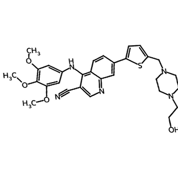 COc1cc(Nc2c(C#N)cnc3cc(-c4ccc(CN5CCN(CCO)CC5)s4)ccc23)cc(OC)c1OC